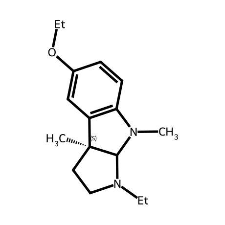 CCOc1ccc2c(c1)[C@]1(C)CCN(CC)C1N2C